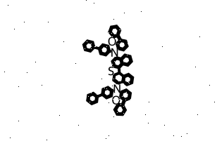 C1=C(N(c2ccc(-c3ccccc3)cc2)c2cccc3c2oc2ccccc23)c2ccccc2C2c3c(cc(N(c4ccc(-c5ccccc5)cc4)c4cccc5c4oc4ccccc45)c4ccccc34)SC12